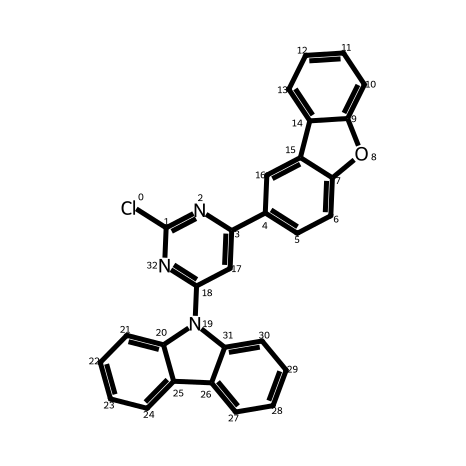 Clc1nc(-c2ccc3oc4ccccc4c3c2)cc(-n2c3ccccc3c3ccccc32)n1